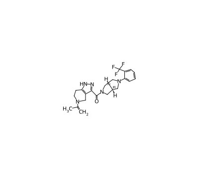 C=C(C)N1CCc2[nH]nc(C(=O)N3C[C@@H]4CN(c5ccccc5C(F)(F)F)C[C@@H]4C3)c2C1